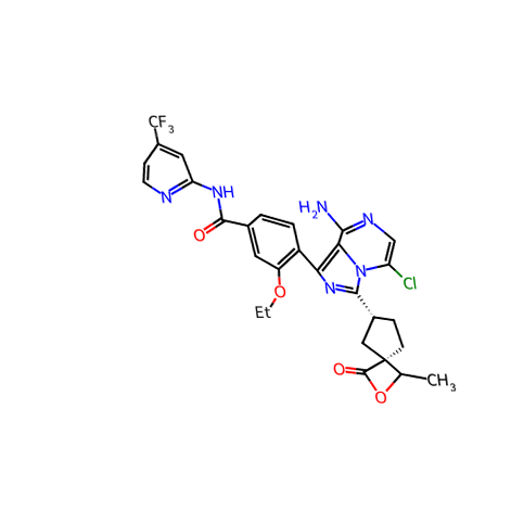 CCOc1cc(C(=O)Nc2cc(C(F)(F)F)ccn2)ccc1-c1nc([C@@H]2CC[C@@]3(C2)C(=O)OC3C)n2c(Cl)cnc(N)c12